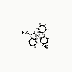 CCC[N+](c1ccccc1)(c1ccccc1)c1ccccc1.[OH-]